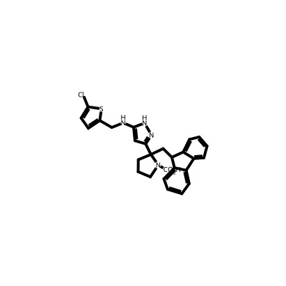 O=C(O)N1CCCC1(CC1c2ccccc2-c2ccccc21)c1cc(NCc2ccc(Cl)s2)[nH]n1